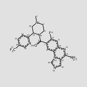 CN1CCN(C(=O)c2cc3c(cc2F)nc(N)c2cncn23)C(c2ccc(C(F)(F)F)cn2)C1